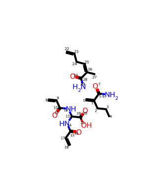 C=C(CCC)C(N)=O.C=CC(=O)NC(NC(=O)C=C)C(=O)O.C=CCC=C(C)C(N)=O